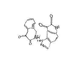 O=C1Nc2ccc3cn[nH]c3c2C1=O.O=C1Nc2ccccc2C1=O